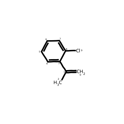 C=C(C)c1ccccc1Cl